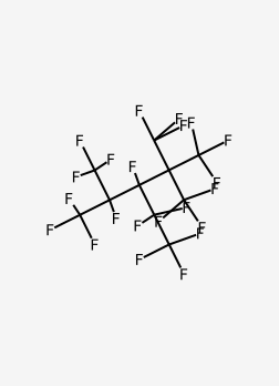 FC(F)(F)C(F)(F)C(F)(C(F)(C(F)(F)F)C(F)(F)F)C(C(F)(F)F)(C(F)(F)F)C(F)(F)F